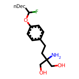 CCCCCCCCCCC(F)Oc1ccc(CCC(N)(CO)CO)cc1